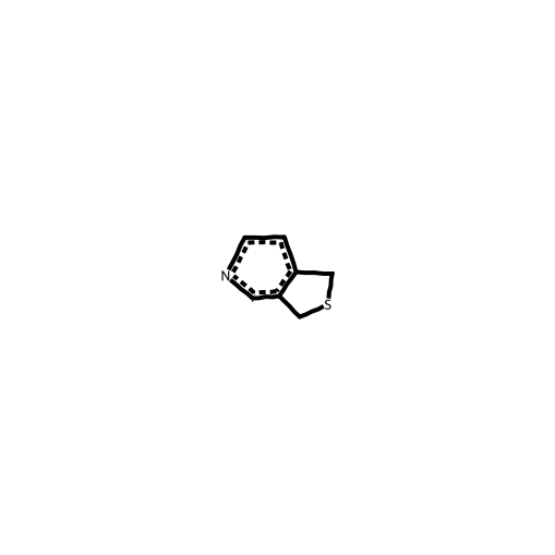 [c]1nccc2c1CSC2